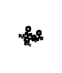 Cc1cc(C)c(C(=O)Oc2ccccc2)c(-c2ccccc2)c1.NC(=O)c1ccccc1